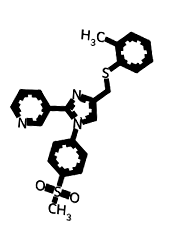 Cc1ccccc1SCc1cn(-c2ccc(S(C)(=O)=O)cc2)c(-c2cccnc2)n1